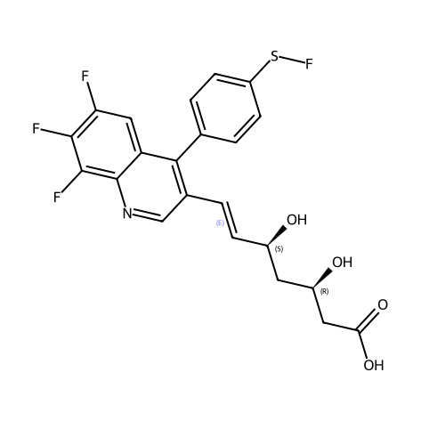 O=C(O)C[C@H](O)C[C@H](O)/C=C/c1cnc2c(F)c(F)c(F)cc2c1-c1ccc(SF)cc1